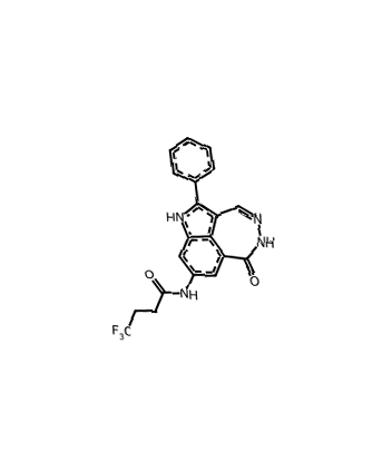 O=C(CCC(F)(F)F)Nc1cc2c3c(c(-c4ccccc4)[nH]c3c1)C=NNC2=O